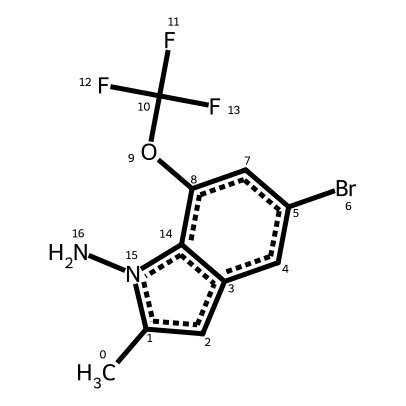 Cc1cc2cc(Br)cc(OC(F)(F)F)c2n1N